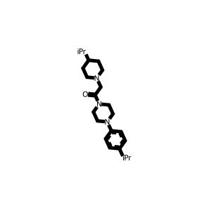 CC(C)c1ccc(N2CCN(C(=O)CN3CCC(C(C)C)CC3)CC2)cc1